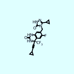 O=C1Nc2cc(Cn3c(C4CC4)n[nH]c3=O)c(F)cc2[C@@](C#CC2CC2)(C(F)(F)F)N1